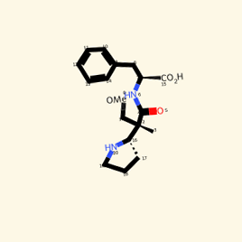 COC[C@](C)(C(=O)N[C@@H](Cc1ccccc1)C(=O)O)[C@@H]1CCCN1